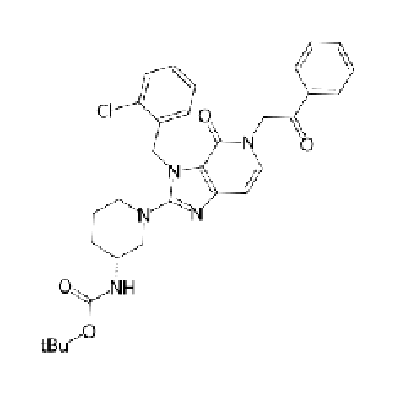 CC(C)(C)OC(=O)N[C@@H]1CCCN(c2nc3ccn(CC(=O)c4ccccc4)c(=O)c3n2Cc2ccccc2Cl)C1